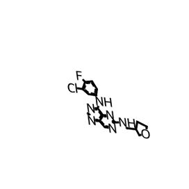 Fc1ccc(Nc2ncnc3cnc(NCC4CCOC4)nc23)cc1Cl